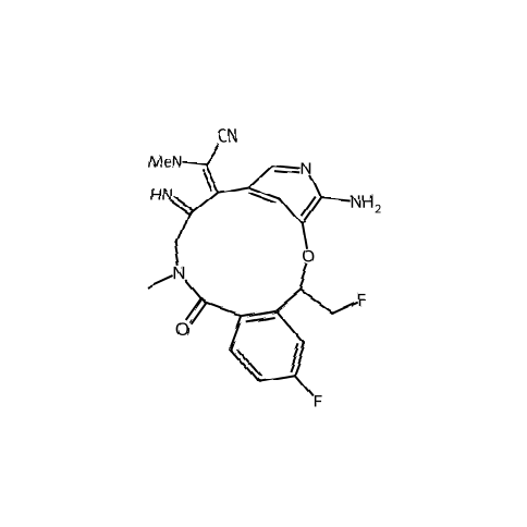 CN/C(C#N)=C1\C(=N)CN(C)C(=O)c2ccc(F)cc2C(CF)Oc2cc1cnc2N